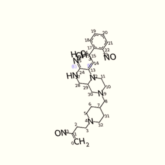 C=C(CCN1CCC(CN2CCN3C(=C/C(=C)c4ccccc4N=O)/C(=N\C)NCC3C2)CC1)N=O